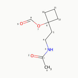 CC(=O)NCCC1(OC=O)CCC1